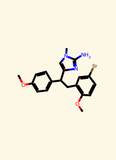 COc1ccc(C(Cc2cc(Br)ccc2OC)c2cn(C)c(N)n2)cc1